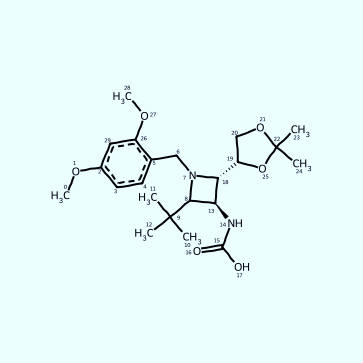 COc1ccc(CN2C(C(C)(C)C)[C@H](NC(=O)O)[C@H]2C2COC(C)(C)O2)c(OC)c1